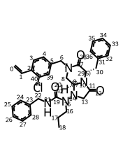 C=Cc1ccc(CN2C[C@H]3N(C(=O)CN3N(CCC)C(=O)NCc3ccccc3)[C@@H](Cc3ccccc3)C2=O)cc1Cl